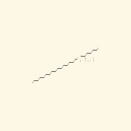 CCCCCCCCCCCCCCCCNC(=O)C(N)CCCCC